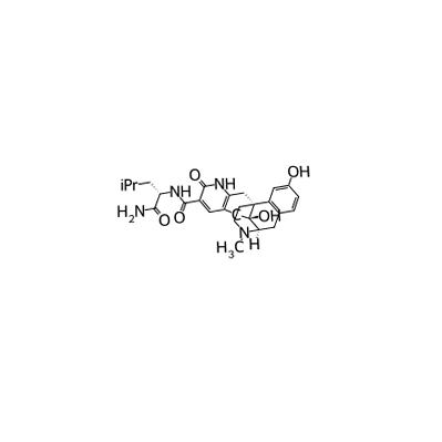 CC(C)C[C@H](NC(=O)c1cc2c([nH]c1=O)C[C@]13CCN(C)[C@H](Cc4ccc(O)cc41)[C@]3(O)C2)C(N)=O